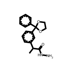 CC(C(=O)NN)c1cccc(C2(c3ccccc3)OCCO2)c1